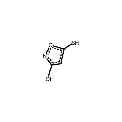 Oc1cc(S)on1